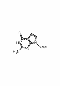 CNn1ccc2c(=O)[nH]c(N)nc21